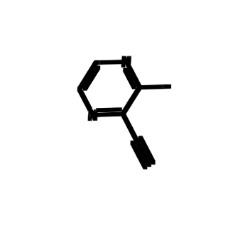 C#Cc1nccnc1C